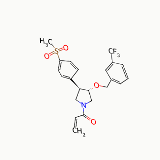 C=CC(=O)N1C[C@@H](OCc2cccc(C(F)(F)F)c2)[C@H](c2ccc(S(C)(=O)=O)cc2)C1